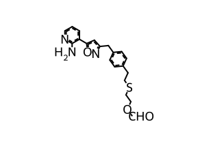 Nc1ncccc1-c1cc(Cc2ccc(CCSCCOC=O)cc2)no1